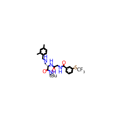 Cc1ccc(CNC[C@H](NC(=O)CNC(=O)c2cccc(SC(F)(F)F)c2)C(=O)NC(C)(C)C)c(C)c1